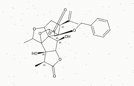 C=C(C)[C@@H]1CC2OC(C)C34OC5OC(=O)[C@H](OCc6ccccc6)C51C23[C@@H](O)C1OC(=O)[C@@H](C)[C@@]14O